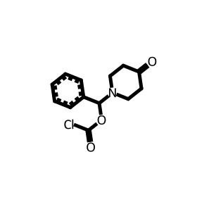 O=C1CCN(C(OC(=O)Cl)c2ccccc2)CC1